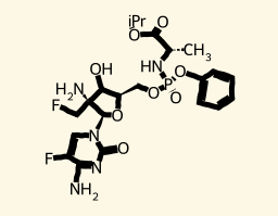 CC(C)OC(=O)[C@H](C)NP(=O)(OC[C@H]1O[C@@H](n2cc(F)c(N)nc2=O)[C@@](N)(CF)C1O)Oc1ccccc1